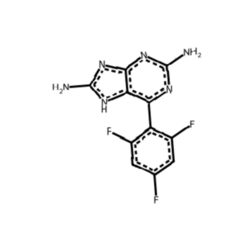 Nc1nc(-c2c(F)cc(F)cc2F)c2[nH]c(N)nc2n1